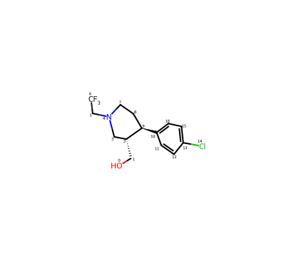 OC[C@@H]1CN(CC(F)(F)F)CC[C@H]1c1ccc(Cl)cc1